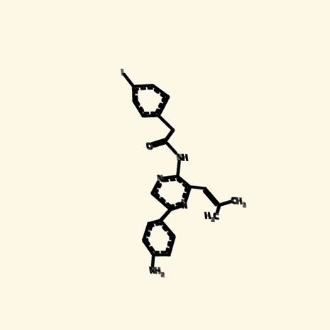 CC(C)=Cc1nc(-c2ccc(N)cc2)cnc1NC(=O)Cc1ccc(I)cc1